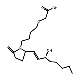 C=C1CC[C@H](/C=C/[C@@H](O)CCCCC)N1CCCCOCC(=O)O